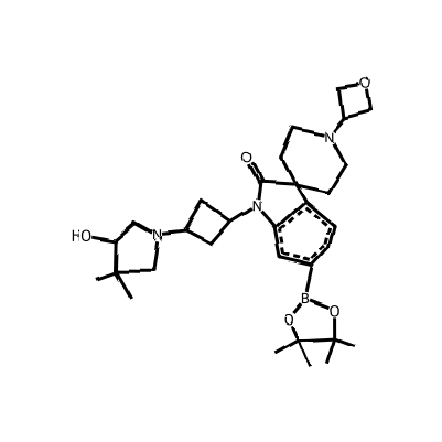 CC1(C)CN(C2CC(N3C(=O)C4(CCN(C5COC5)CC4)c4ccc(B5OC(C)(C)C(C)(C)O5)cc43)C2)CC1O